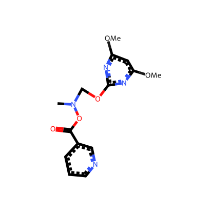 COc1cc(OC)nc(OCN(C)OC(=O)c2cccnc2)n1